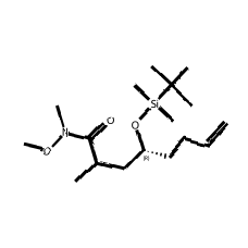 C=CCC[C@H](CC(C)C(=O)N(C)OC)O[Si](C)(C)C(C)(C)C